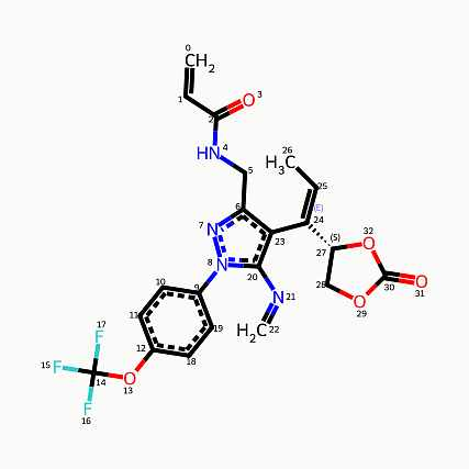 C=CC(=O)NCc1nn(-c2ccc(OC(F)(F)F)cc2)c(N=C)c1/C(=C\C)[C@H]1COC(=O)O1